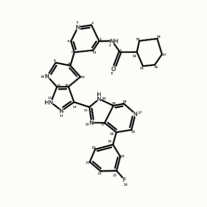 O=C(Nc1cncc(-c2cnc3[nH]nc(-c4nc5c(-c6cccc(F)c6)cncc5[nH]4)c3c2)c1)C1CCCCC1